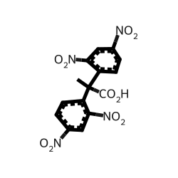 CC(C(=O)O)(c1ccc([N+](=O)[O-])cc1[N+](=O)[O-])c1ccc([N+](=O)[O-])cc1[N+](=O)[O-]